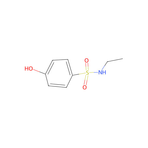 CCNS(=O)(=O)c1ccc(O)cc1